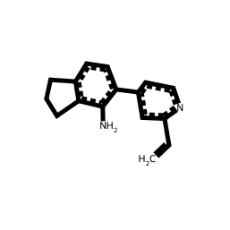 C=Cc1cc(-c2ccc3c(c2N)CCC3)ccn1